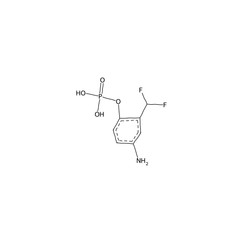 Nc1ccc(OP(=O)(O)O)c(C(F)F)c1